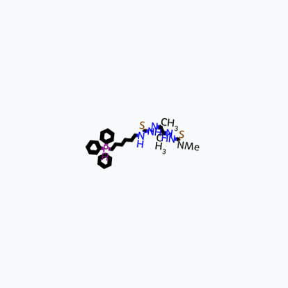 CNC(=S)N/N=C(C)/C(C)=N\NC(=S)NCCCCCC[PH](c1ccccc1)(c1ccccc1)c1ccccc1